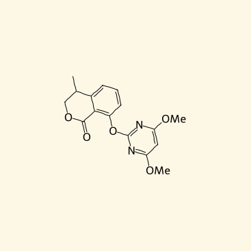 COc1cc(OC)nc(Oc2cccc3c2C(=O)OCC3C)n1